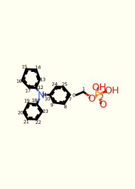 CCOP(=O)(O)O.c1ccc(N(c2ccccc2)c2ccccc2)cc1